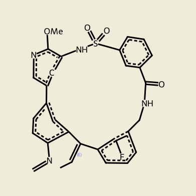 C=Nc1ccc2cc1/C(=C\C)c1cccc(c1F)CNC(=O)c1cccc(c1)S(=O)(=O)Nc1cc-2cnc1OC